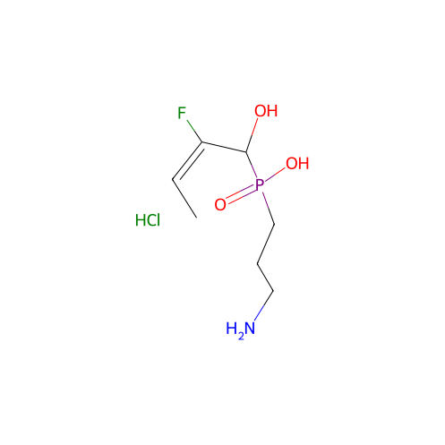 C/C=C(/F)C(O)P(=O)(O)CCCN.Cl